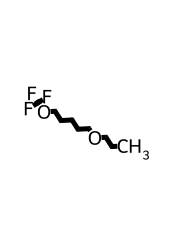 CCCOCCCCCOC(F)(F)F